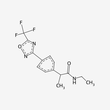 CCNC(=O)C(C)c1ccc(-c2noc(C(F)(F)F)n2)cc1